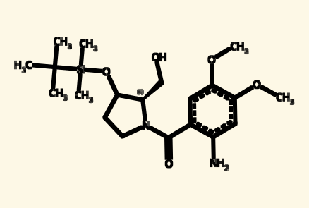 COc1cc(N)c(C(=O)N2CCC(O[Si](C)(C)C(C)(C)C)[C@H]2CO)cc1OC